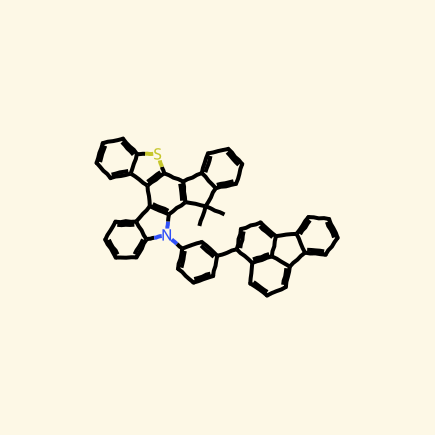 CC1(C)c2ccccc2-c2c1c1c(c3ccccc3n1-c1cccc(-c3ccc4c5c(cccc35)-c3ccccc3-4)c1)c1c2sc2ccccc21